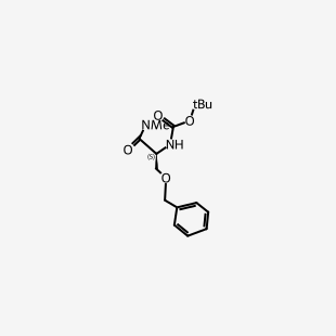 CNC(=O)[C@H](COCc1ccccc1)NC(=O)OC(C)(C)C